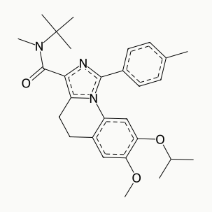 COc1cc2c(cc1OC(C)C)-n1c(-c3ccc(C)cc3)nc(C(=O)N(C)C(C)(C)C)c1CC2